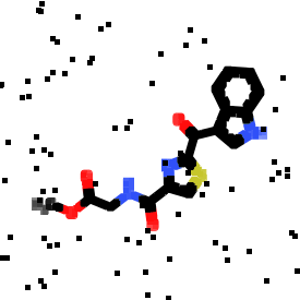 COC(=O)CNC(=O)c1csc(C(=O)c2c[nH]c3ccccc23)n1